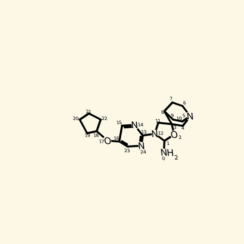 NC1OC2(CN3CCC2CC3)CN1c1ncc(OC2CCCC2)cn1